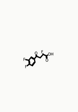 O=C(CC(F)C(=O)O)c1ccc(F)c(F)c1